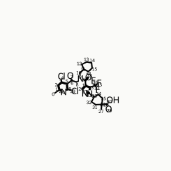 Cc1cc(Cl)c(C(=O)CN(CC2CCCCC2)C(=O)c2cnn(C3CCC(C)(C(=O)O)CC3)c2C(F)(F)F)c(Cl)n1